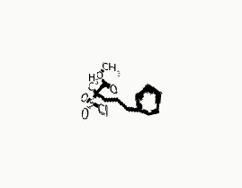 COC(=O)C(C)(CCCc1ccccc1)S(=O)(=O)Cl